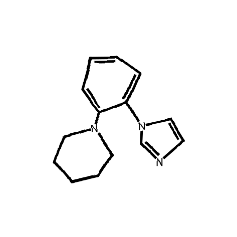 c1ccc(-n2ccnc2)c(N2CCCCC2)c1